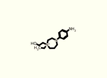 CC[N+]1(CCO)CCCN(c2ccc(N)cc2)CC1